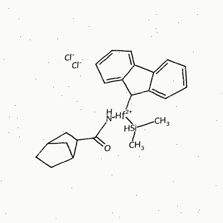 C[SiH](C)[Hf+2]([NH]C(=O)C1CC2CCC1C2)[CH]1c2ccccc2-c2ccccc21.[Cl-].[Cl-]